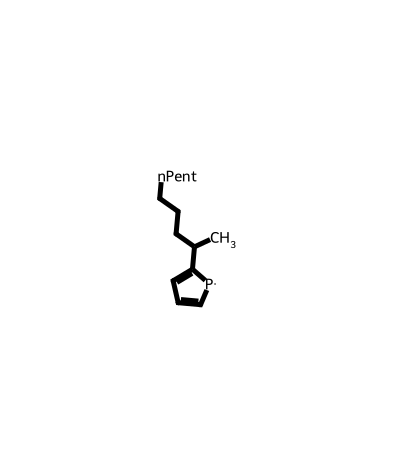 CCCCCCCCC(C)C1=CC=C[P]1